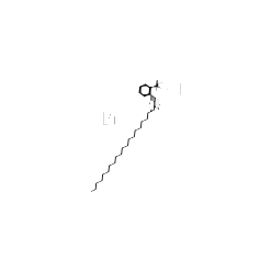 CCCCCCCCCCCCCCCCCCCC[N+](C)(C)Cc1ccccc1C(C)O.[Br-]